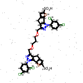 O=S(=O)(O)c1cc2c(s1)-c1c(c(COCCCOCc3nn(-c4ccc(Cl)cc4Cl)c4c3Cc3cc(S(=O)(=O)O)sc3-4)nn1-c1ccc(Cl)cc1Cl)C2